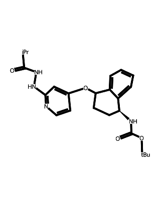 CC(C)C(=O)NNc1cc(OC2CC[C@H](NC(=O)OC(C)(C)C)c3ccccc32)ccn1